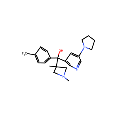 CN1CC(C)(C(O)(c2ccc(C(F)(F)F)cc2)c2cncc(N3CCCC3)c2)C1